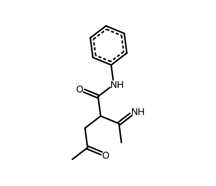 CC(=N)C(CC(C)=O)C(=O)Nc1ccccc1